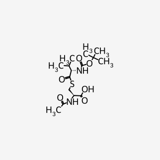 CC(=O)N[C@@H](CSC(=O)[C@@H](NC(=O)OC(C)(C)C)C(C)C)C(=O)O